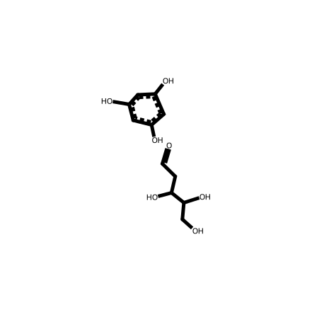 O=CCC(O)C(O)CO.Oc1cc(O)cc(O)c1